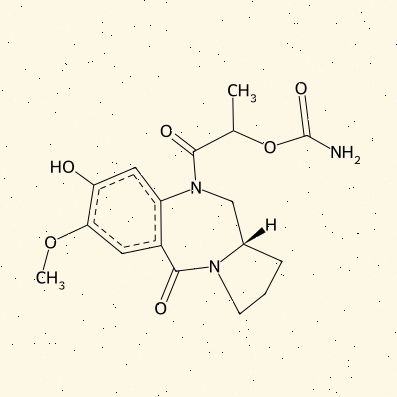 COc1cc2c(cc1O)N(C(=O)C(C)OC(N)=O)C[C@@H]1CCCN1C2=O